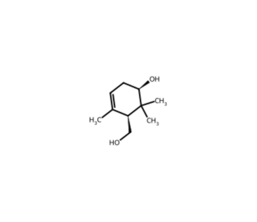 CC1=CC[C@@H](O)C(C)(C)[C@H]1CO